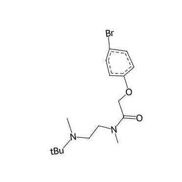 CN(CCN(C)C(C)(C)C)C(=O)COc1ccc(Br)cc1